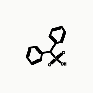 O=S(=O)(O)C(c1[c]cccc1)c1ccccc1